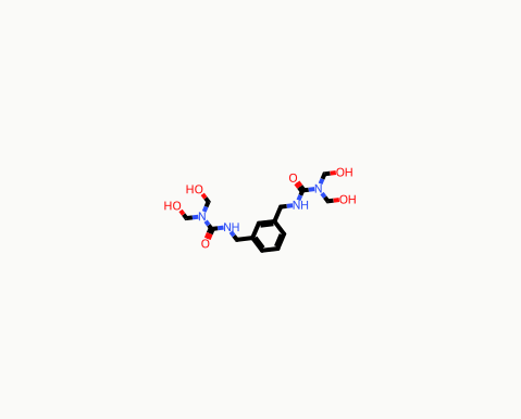 O=C(NCc1cccc(CNC(=O)N(CO)CO)c1)N(CO)CO